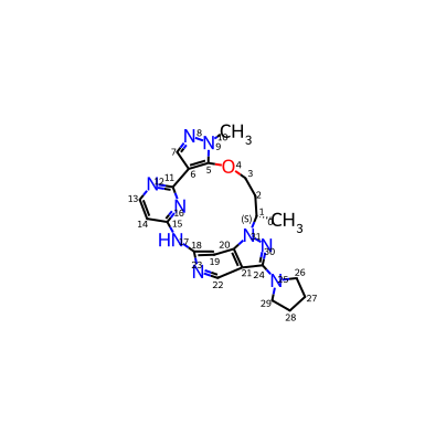 C[C@H]1CCOc2c(cnn2C)-c2nccc(n2)Nc2cc3c(cn2)c(N2CCCC2)nn31